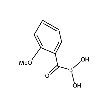 COc1ccccc1C(=O)B(O)O